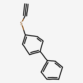 C#CSc1ccc(-c2ccccc2)cc1